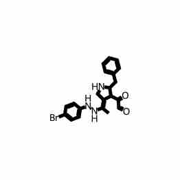 CC(NNc1ccc(Br)cc1)=C1CNC(Cc2ccccc2)C1C(=O)C=O